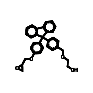 OCCOCc1ccc(C2(c3ccc(OCC4CO4)cc3)c3ccccc3-c3ccccc32)cc1